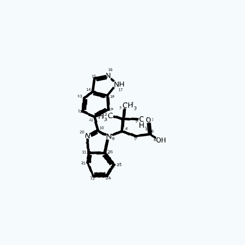 CC(C)(C)C(CC(=O)O)n1c(-c2ccc3cn[nH]c3c2)nc2ccccc21